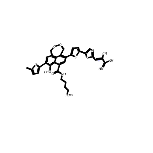 CCCCCCCCCCCCCCNC(=O)c1cc(-c2ccc(-c3cnc(/C=C(\C#N)C(=N)S)s3)s2)c2c3c(cc(-c4ccc(C)s4)c(C=O)c13)COOC2